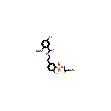 CCc1ccc(CCNC(=O)c2cc(C(C)(C)C)ccc2OC)cc1S(=O)(=O)NC(=S)NC